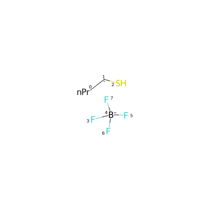 CCC[CH]S.F[B-](F)(F)F